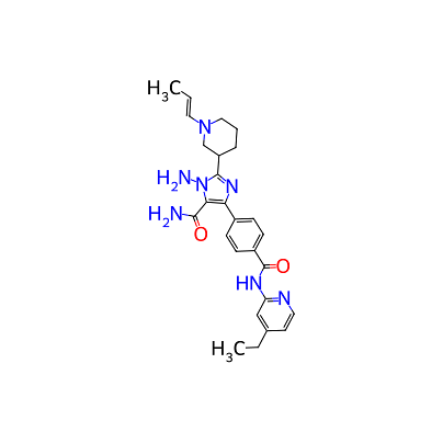 CC=CN1CCCC(c2nc(-c3ccc(C(=O)Nc4cc(CC)ccn4)cc3)c(C(N)=O)n2N)C1